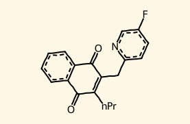 CCCC1=C(Cc2ccc(F)cn2)C(=O)c2ccccc2C1=O